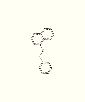 [c]1ccc(OCc2ccccc2)c2ccccc12